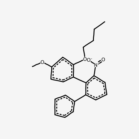 CCCCOc1cc(OC)ccc1-c1c(-c2ccccc2)cccc1[N+](=O)[O-]